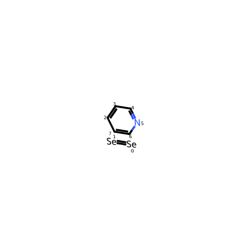 [Se]=[Se].c1ccncc1